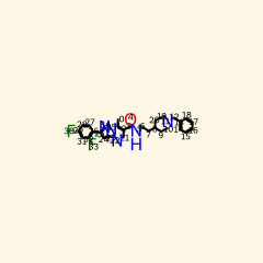 Cc1c(C(=O)NCCC2CCN(Cc3ccccc3)CC2)cnc2cc(-c3ccc(F)cc3F)nn12